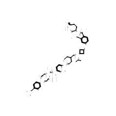 CC(C)N(CC1CCN(c2ccc(NC(=O)N3C[C@H](C)N(c4ccc(C#N)c(Cl)c4)C[C@H]3C)cn2)CC1)[C@H]1C[C@H](Oc2ccc3c(c2)C(=O)N(C2CCC(=O)NC2=O)C3=O)C1